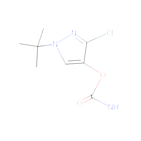 CC(C)(C)n1cc(OC(N)=O)c(Cl)n1